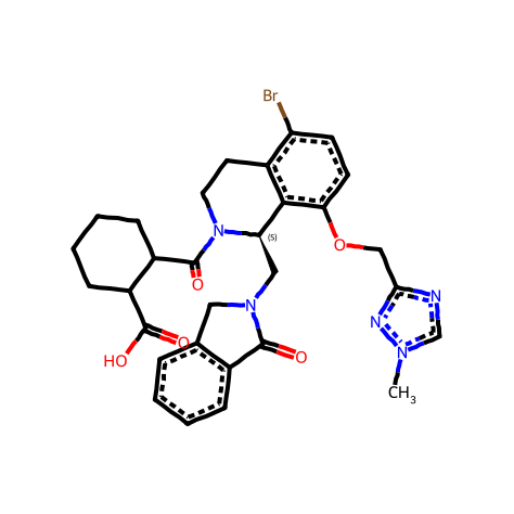 Cn1cnc(COc2ccc(Br)c3c2[C@@H](CN2Cc4ccccc4C2=O)N(C(=O)C2CCCCC2C(=O)O)CC3)n1